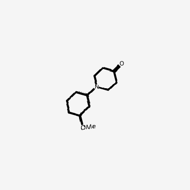 COC1CCCC(N2CCC(=O)CC2)C1